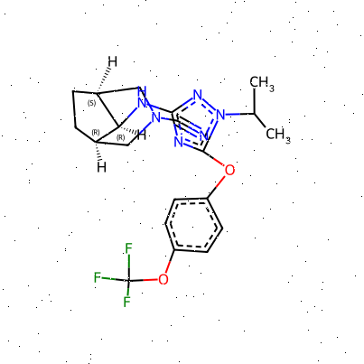 CC(C)n1nc(N[C@H]2[C@@H]3CC[C@H]2CN(C#N)C3)nc1Oc1ccc(OC(F)(F)F)cc1